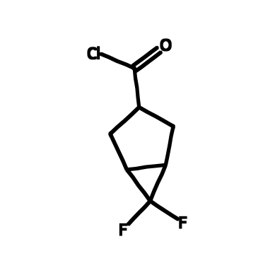 O=C(Cl)C1CC2C(C1)C2(F)F